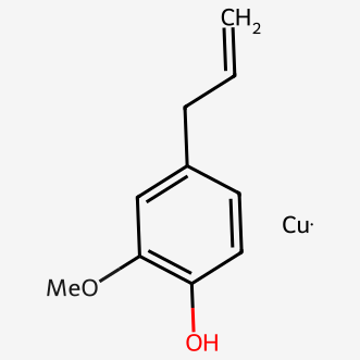 C=CCc1ccc(O)c(OC)c1.[Cu]